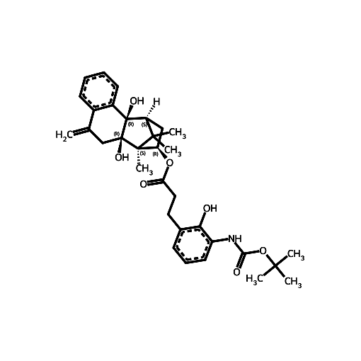 C=C1C[C@]2(O)[C@](O)(c3ccccc31)[C@H]1C[C@@H](OC(=O)CCc3cccc(NC(=O)OC(C)(C)C)c3O)[C@]2(C)C1(C)C